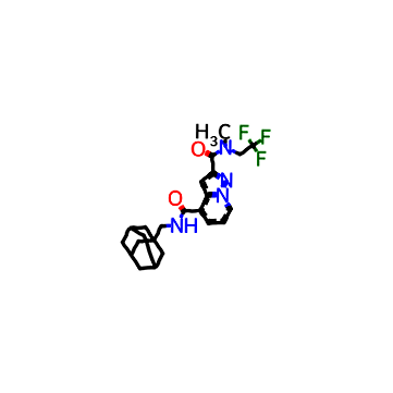 CN(CC(F)(F)F)C(=O)c1cc2c(C(=O)NCC34CC5CC(CC(C5)C3)C4)cccn2n1